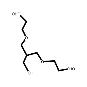 O=CCCOCC(CO)COCCC=O